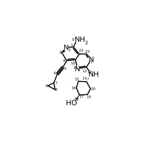 Nc1ncc(C#CC2CC2)c2nc(N[C@H]3CC[C@H](O)CC3)ncc12